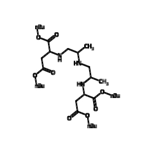 CCCCOC(=O)CC(NCC(C)NCC(C)NC(CC(=O)OCCCC)C(=O)OCCCC)C(=O)OCCCC